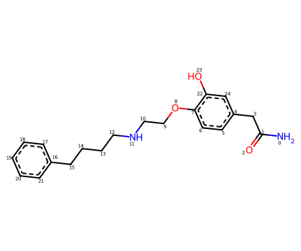 NC(=O)Cc1ccc(OCCNCCCCc2ccccc2)c(O)c1